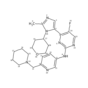 Cc1ncc(-c2nc(Nc3ccc(CN4CCCCC4)nc3)ncc2F)n1C1CCOCC1